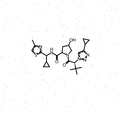 Cc1csc(C(NC(=O)C2CC(O)CN2C(=O)[C@@H](n2cc(C3CC3)nn2)C(C)(C)C)C2CC2)n1